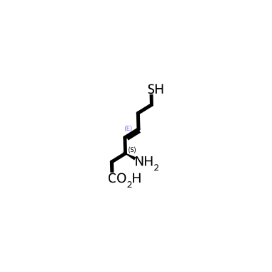 N[C@H](/C=C/CCS)CC(=O)O